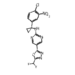 O=[N+]([O-])c1cc(C2(Nc3ncc(-c4nnc(C(F)F)o4)cn3)CC2)ccc1Cl